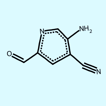 N#Cc1cc(C=O)ncc1N